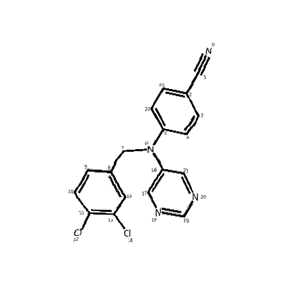 N#Cc1ccc(N(Cc2ccc(Cl)c(Cl)c2)c2cncnc2)cc1